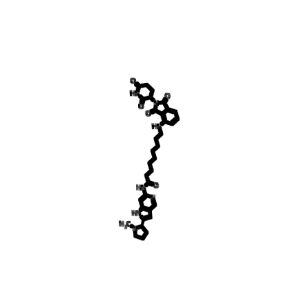 CN1CCC[C@@H]1c1cc2cnc(NC(=O)CCCCCCCCNc3cccc4c3C(=O)N(C3CCC(=O)NC3=O)C4=O)cc2[nH]1